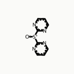 [O-][S+](c1ncccn1)c1ncccn1